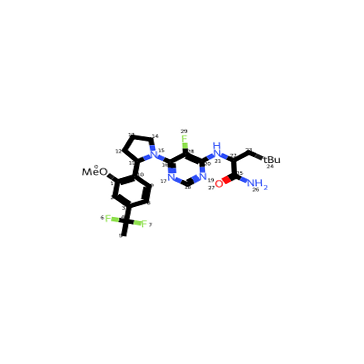 COc1cc(C(C)(F)F)ccc1C1CCCN1c1ncnc(NC(CC(C)(C)C)C(N)=O)c1F